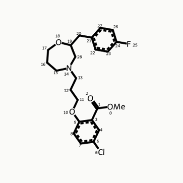 COC(=O)c1cc(Cl)ccc1OCCCN1CCCOC(Cc2ccc(F)cc2)C1